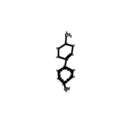 CC1CC=C(c2ccc(O)cc2)CC1